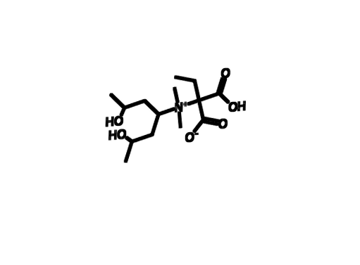 CCC(C(=O)[O-])(C(=O)O)[N+](C)(C)C(CC(C)O)CC(C)O